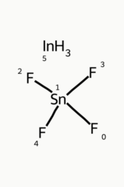 [F][Sn]([F])([F])[F].[InH3]